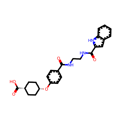 O=C(NCCNC(=O)c1cc2ccccc2[nH]1)c1ccc(O[C@H]2CC[C@@H](C(=O)O)CC2)cc1